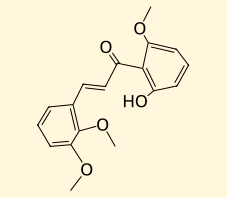 COc1cccc(/C=C/C(=O)c2c(O)cccc2OC)c1OC